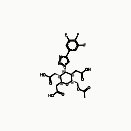 CC(=O)OC[C@@H]1O[C@@H](CC(=O)O)[C@H](CC(=O)O)[C@H](n2cc(-c3cc(F)c(F)c(F)c3)nn2)[C@H]1CC(=O)O